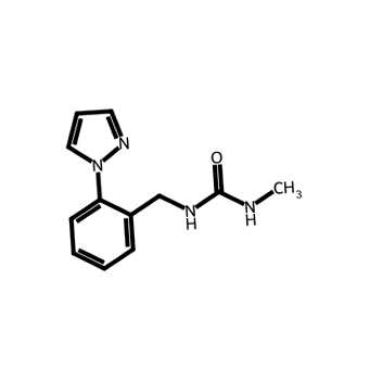 CNC(=O)NCc1ccccc1-n1cccn1